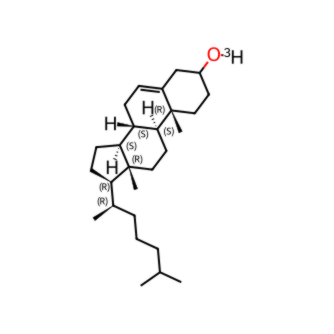 [3H]OC1CC[C@@]2(C)C(=CC[C@H]3[C@@H]4CC[C@H]([C@H](C)CCCC(C)C)[C@@]4(C)CC[C@@H]32)C1